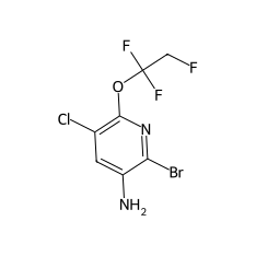 Nc1cc(Cl)c(OC(F)(F)CF)nc1Br